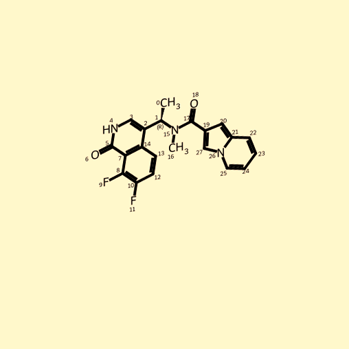 C[C@H](c1c[nH]c(=O)c2c(F)c(F)ccc12)N(C)C(=O)c1cc2ccccn2c1